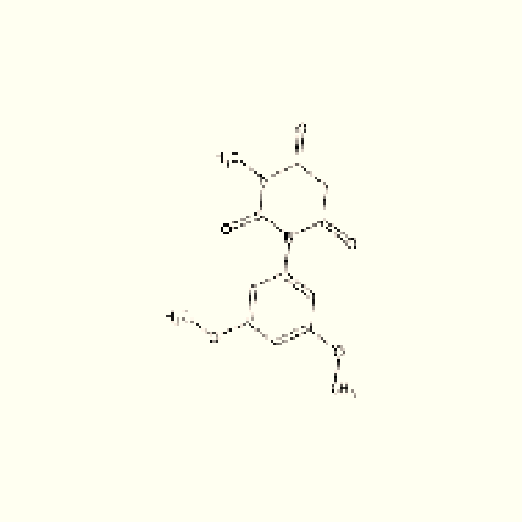 COc1cc(OC)cc(N2C(=O)CC(=O)N(C)C2=O)c1